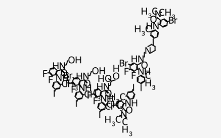 CCN(CC)C(=O)c1cc(Cl)ccc1Nc1ccc(I)cc1C.Cc1cc(I)ccc1Nc1c(C(=O)NCC(O)CO)ccc(F)c1F.Cc1cc(I)ccc1Nc1c(C(=O)NCCN2CCCCC2)cc(Br)c(F)c1F.Cc1cc(I)ccc1Nc1c(C(=O)NCCO)cc(Br)c(F)c1F.Cc1cc(I)ccc1Nc1c(C(=O)NCCO)ccc(F)c1F.Cc1cc(I)ccc1Nc1ccc(Br)cc1C(=O)N(C)C